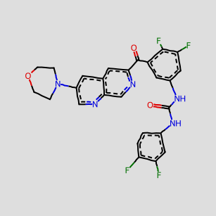 O=C(Nc1ccc(F)c(F)c1)Nc1cc(F)c(F)c(C(=O)c2cc3cc(N4CCOCC4)cnc3cn2)c1